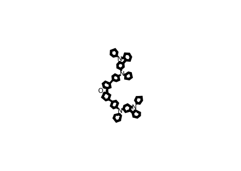 c1ccc(N(c2ccc(-c3ccc4oc5ccc(-c6ccc(N(c7ccccc7)c7ccc8c(c7)c7ccccc7n8-c7ccccc7)cc6)cc5c4c3)cc2)c2ccc3c(c2)c2ccccc2n3-c2ccccc2)cc1